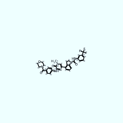 Cn1cc(-c2cccc3c2CCN3C(=O)Nc2cccc(C(F)(F)F)c2)nc(Nc2ccc(C(=O)N3CCOCC3)cc2)c1=O